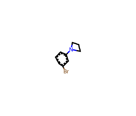 Brc1cccc(N2CCC2)c1